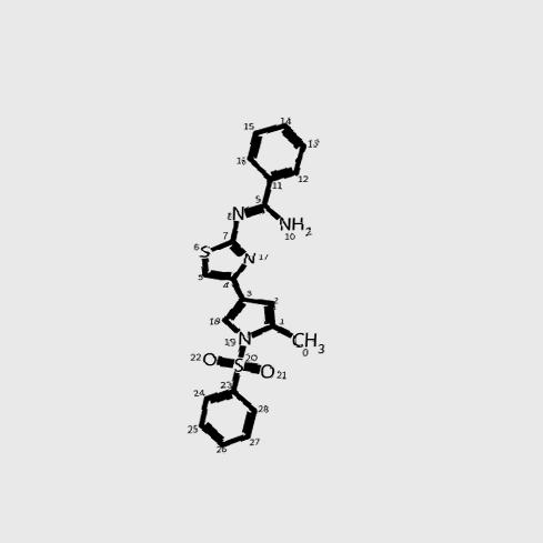 Cc1cc(-c2csc(/N=C(\N)c3ccccc3)n2)cn1S(=O)(=O)c1ccccc1